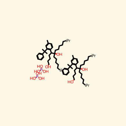 Cc1ccc(C(CCCCO)C(O)(CCCCCC(C)C)CCCCCC(C)C)c(C(C)(C)c2ccccc2)c1.Cc1ccc(C(CCCCO)C(O)(CCCCCC(C)C)CCCCCC(C)C)c(C(C)(C)c2ccccc2)c1.OP(O)O.OP(O)O